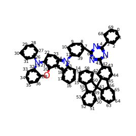 c1ccc(-c2nc(-c3cccc(-n4c5ccccc5c5c6c(ccc54)N(c4ccccc4)c4ccccc4O6)c3)nc(-c3ccc4c(c3)C3(c5ccccc5-c5ccccc53)c3ccccc3-4)n2)cc1